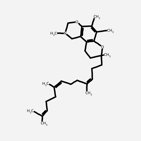 CC(C)=CCCC(C)=CCCC(C)=CCCC1(C)CCc2c3c(c(C)c(C)c2O1)OCN(C)C3